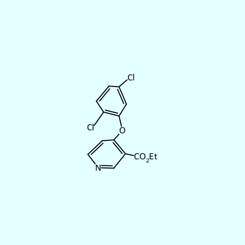 CCOC(=O)c1cnccc1Oc1cc(Cl)ccc1Cl